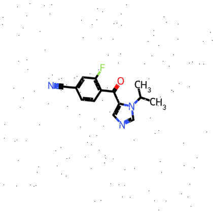 CC(C)n1cncc1C(=O)c1ccc(C#N)cc1F